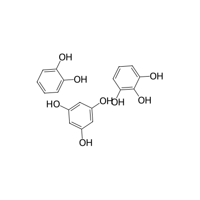 Oc1cc(O)cc(O)c1.Oc1cccc(O)c1O.Oc1ccccc1O